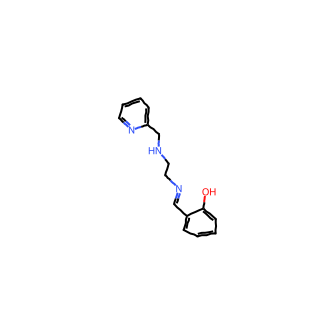 Oc1ccccc1C=NCCNCc1ccccn1